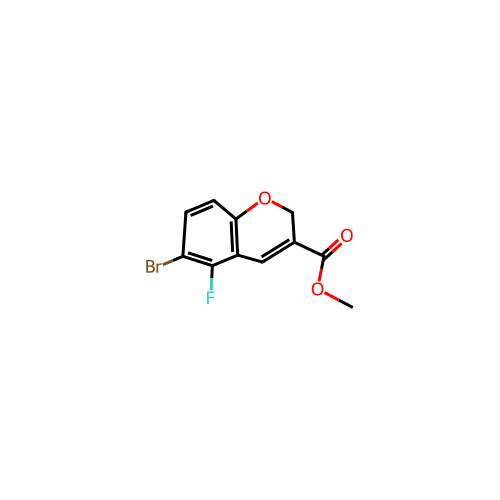 COC(=O)C1=Cc2c(ccc(Br)c2F)OC1